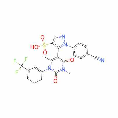 Cc1c(-c2c(S(=O)(=O)O)cnn2-c2ccc(C#N)cc2)c(=O)n(C)c(=O)n1C1=CC(C(F)(F)F)=CCC1